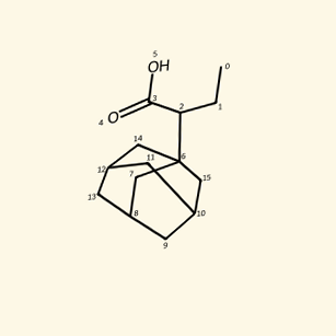 CCC(C(=O)O)C12CC3CC(CC(C3)C1)C2